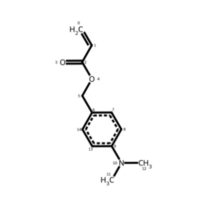 C=CC(=O)OCc1ccc(N(C)C)cc1